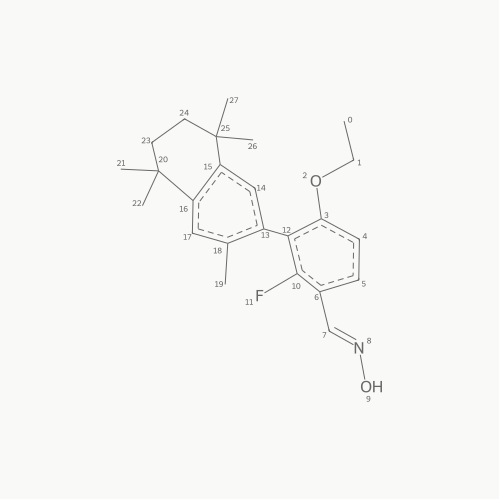 CCOc1ccc(/C=N/O)c(F)c1-c1cc2c(cc1C)C(C)(C)CCC2(C)C